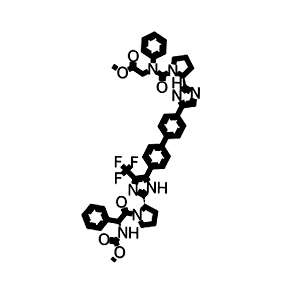 COC(=O)CN(C(=O)N1CCC[C@H]1c1ncc(-c2ccc(-c3ccc(-c4[nH]c([C@@H]5CCCN5C(=O)[C@H](NC(=O)OC)c5ccccc5)nc4C(F)(F)F)cc3)cc2)[nH]1)c1ccccc1